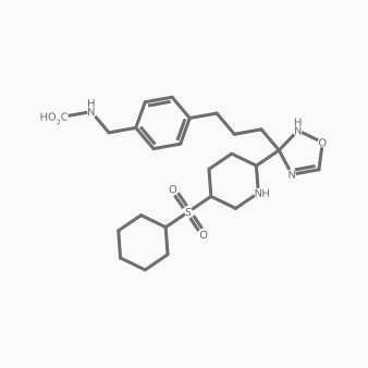 O=C(O)NCc1ccc(CCCC2(C3CCC(S(=O)(=O)C4CCCCC4)CN3)N=CON2)cc1